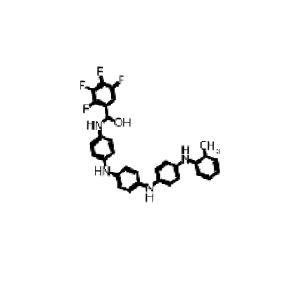 CC1C=CC=CC1Nc1ccc(Nc2ccc(Nc3ccc(NC(O)c4cc(F)c(F)c(F)c4F)cc3)cc2)cc1